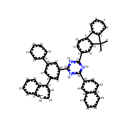 CC1(C)c2ccccc2-c2ccc(-c3nc(-c4cc(-c5ccccc5)cc(-c5cccc6ccccc56)c4)nc(-c4ccc5ccccc5c4)n3)cc21